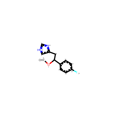 O=COC(Cc1c[nH]cn1)c1ccc(F)cc1